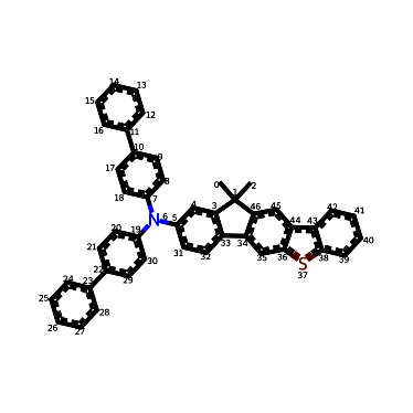 CC1(C)c2cc(N(c3ccc(-c4ccccc4)cc3)c3ccc(-c4ccccc4)cc3)ccc2-c2cc3sc4ccccc4c3cc21